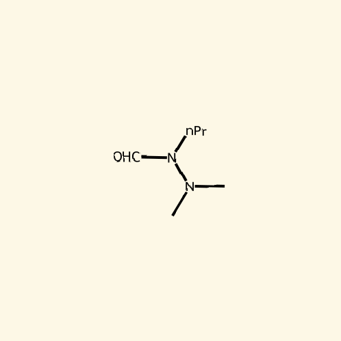 [CH2]CCN(C=O)N(C)C